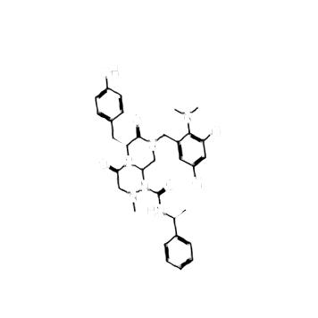 C[C@H](NC(=O)N1C2CN(Cc3cc(Cl)cc(Cl)c3N(C)C)C(=O)[C@H](Cc3ccc(O)cc3)N2C(=O)CN1C)c1ccccc1